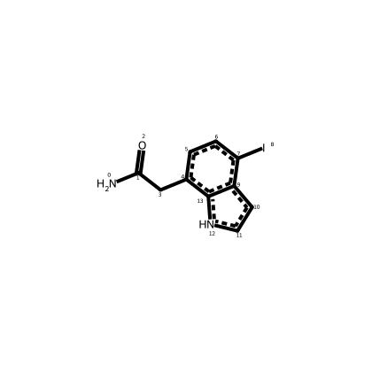 NC(=O)Cc1ccc(I)c2cc[nH]c12